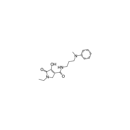 CCN1CC(C(=O)NCCCN(C)c2ccccc2)=C(O)C1=O